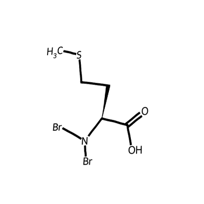 CSCC[C@@H](C(=O)O)N(Br)Br